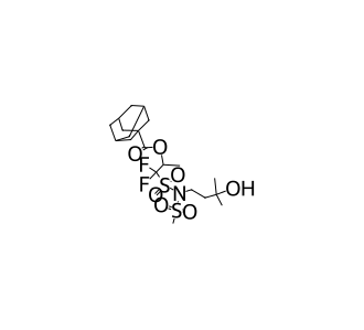 CC(OC(=O)C12CC3CC(CC(C3)C1)C2)C(F)(F)S(=O)(=O)N(CCC(C)(C)O)S(C)(=O)=O